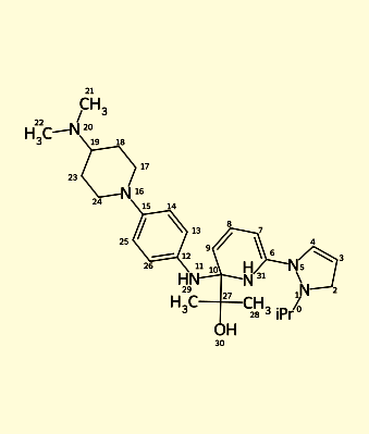 CC(C)N1CC=CN1C1=CC=CC(Nc2ccc(N3CCC(N(C)C)CC3)cc2)(C(C)(C)O)N1